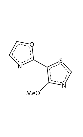 COc1n[c]sc1-c1ncco1